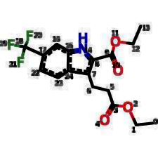 CCOC(=O)CCc1c(C(=O)OCC)[nH]c2cc(C(F)(F)F)ccc12